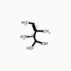 C/C=C(/C)[C@H](N)C(O)O